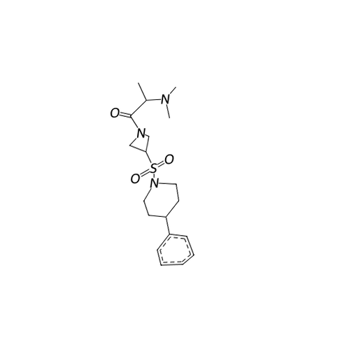 CC(C(=O)N1CC(S(=O)(=O)N2CCC(c3ccccc3)CC2)C1)N(C)C